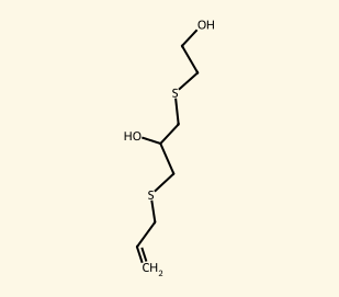 C=CCSCC(O)CSCCO